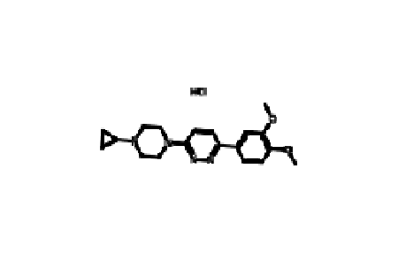 COc1ccc(-c2ccc(N3CCN(C4CC4)CC3)nn2)cc1OC.Cl